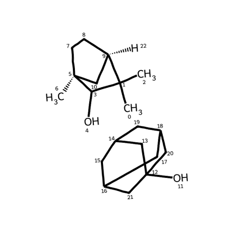 CC1(C)C(O)[C@@]2(C)CC[C@@H]1C2.OC12CC3CC(CC(C3)C1)C2